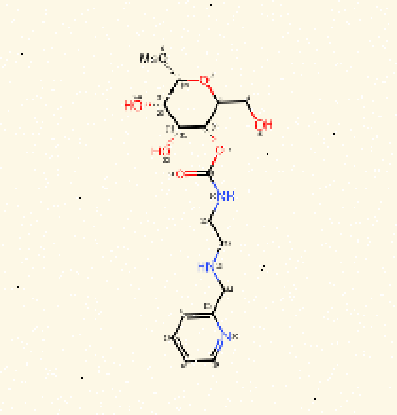 CO[C@@H]1OC(CO)[C@H](OC(=O)NCCNCc2ccccn2)[C@H](O)[C@@H]1O